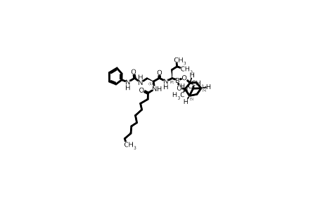 CCCCCCCCCC(=O)N[C@@H](CNC(=O)Nc1ccccc1)C(=O)N[C@@H](CC(C)C)B1O[C@@H]2C[C@@H]3C[C@@H](C3(C)C)[C@]2(C)O1